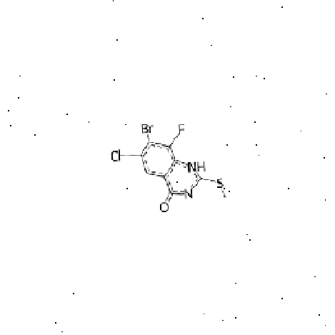 CSc1nc(=O)c2cc(Cl)c(Br)c(F)c2[nH]1